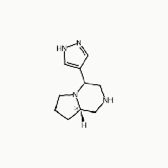 c1n[nH]cc1C1CNC[C@@H]2CCCN12